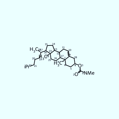 CNC(=O)OC1CC[C@@]2(C)C(=CCC3C4CCC([C@H](C)CCCC(C)C)[C@@]4(C)CCC32)C1